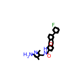 Cc1cc(N)nc(C)c1CNC(=O)c1ccc2c(c1)C1OC2c2cc(-c3cccc(F)c3)ccc21